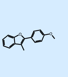 COc1ccc(-c2oc3ccccc3c2C)cc1